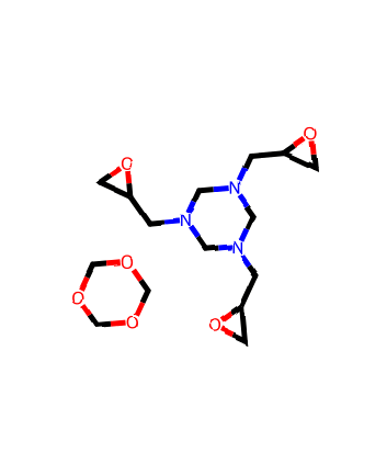 C1OC1CN1CN(CC2CO2)CN(CC2CO2)C1.C1OCOCO1